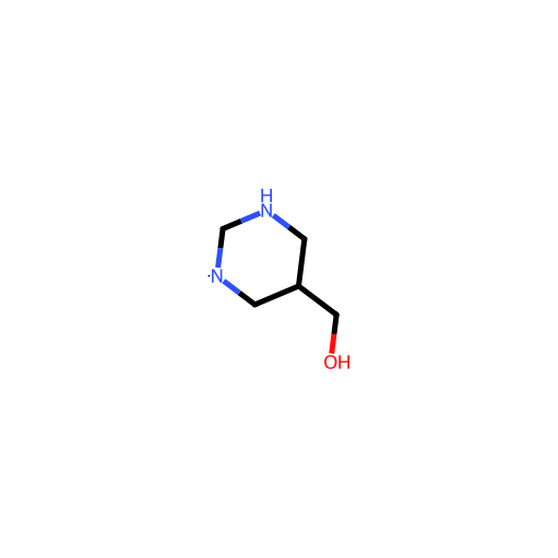 OCC1C[N]CNC1